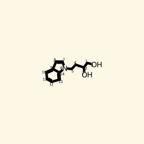 OCC(O)CCn1c[c]c2ccccc21